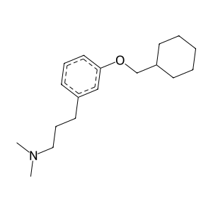 CN(C)CCCc1cccc(OCC2CCCCC2)c1